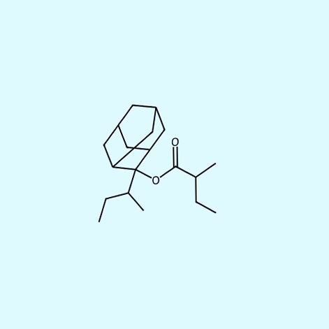 CCC(C)C(=O)OC1(C(C)CC)C2CC3CC(C2)CC1C3